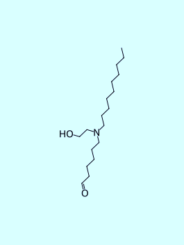 CCCCCCCCCCN(CCO)CCCCCC=O